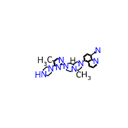 Cc1cnc(N2CCN3[C@@H](C2)CN(c2ccc(C#N)c4ncccc24)C[C@H]3C)nc1N1CCNCC1